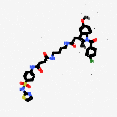 COc1ccc2c(c1)c(CC(=O)NCCCCNC(=O)CCC(=O)Nc1ccc(S(=O)(=O)Nc3nccs3)cc1)c(C)n2C(=O)c1ccc(Cl)cc1